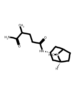 CC(C[CH]C(=O)N[C@@H]1CC2CC[C@@H](C1)N2C)C(N)=O